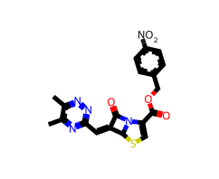 Cc1nnc(C=C2C(=O)N3C(C(=O)OCc4ccc([N+](=O)[O-])cc4)=CSC23)nc1C